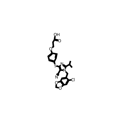 CC(C)c1nc(Sc2ccc(OCCC(=O)O)cc2)c(C#N)n1Cc1cc2c(cc1Cl)OCO2